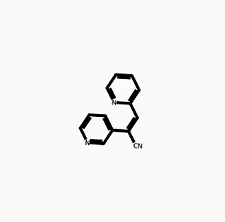 N#CC(=Cc1ccccn1)c1cccnc1